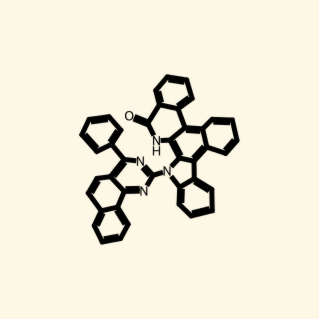 O=c1[nH]c2c(c3ccccc13)c1ccccc1c1c3ccccc3n(-c3nc(-c4ccccc4)c4ccc5ccccc5c4n3)c21